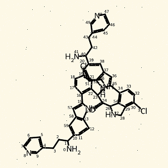 NC(CCc1cccnc1)c1ccc2[nH]c(-c3ccc(Cl)c4c3C(C(=O)C3NCc5c(Cl)ccc(-c6cc7cc(C(N)CCc8cccnc8)ccc7[nH]6)c53)NC4)cc2c1